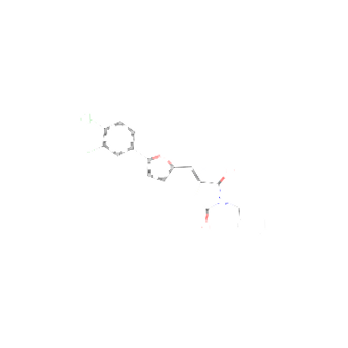 O=C(O)CN1C(=O)S/C(=C\c2ccc(-c3ccc(Cl)c(Cl)c3)o2)C1=O